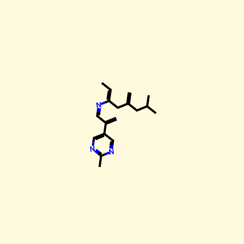 C=C(CC(=C/C)/N=C\C(=C)c1cnc(C)nc1)CC(C)C